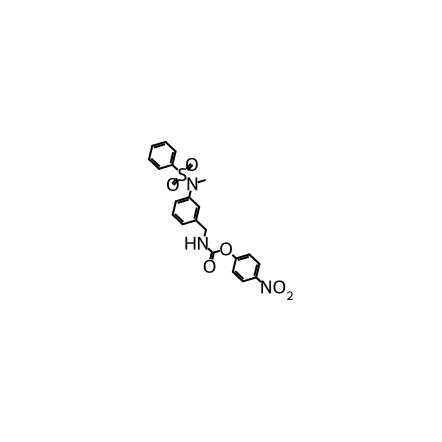 CN(c1cccc(CNC(=O)Oc2ccc([N+](=O)[O-])cc2)c1)S(=O)(=O)c1ccccc1